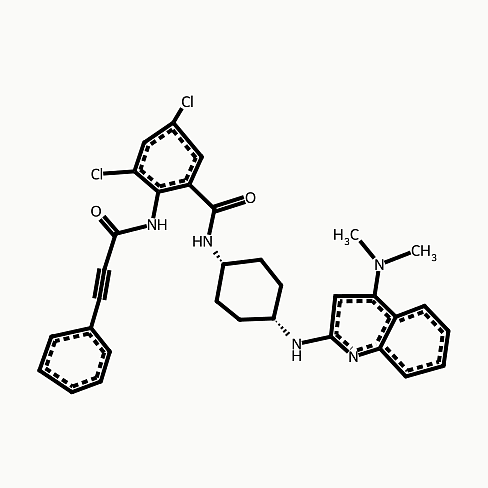 CN(C)c1cc(N[C@H]2CC[C@@H](NC(=O)c3cc(Cl)cc(Cl)c3NC(=O)C#Cc3ccccc3)CC2)nc2ccccc12